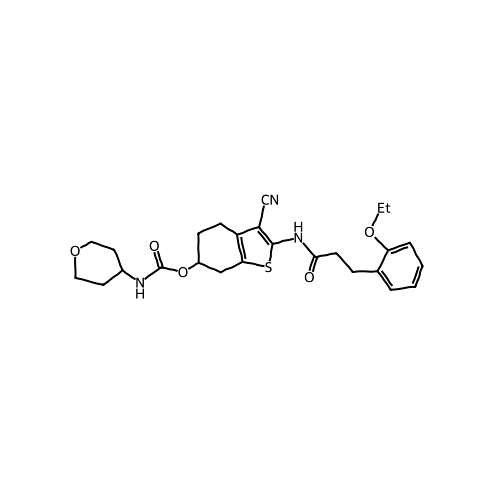 CCOc1ccccc1CCC(=O)Nc1sc2c(c1C#N)CCC(OC(=O)NC1CCOCC1)C2